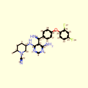 CC1CCC(Nc2ncnc(N)c2C(=N)c2ccc(Oc3ccc(F)cc3F)cc2)CN1C#N